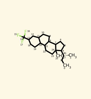 CC[C@@H](C)C1CCC2C3CCC4CC(C(F)(F)F)CCC4C3CCC21C